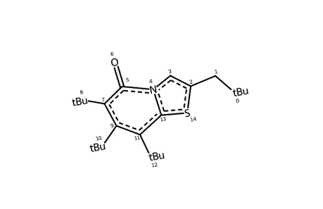 CC(C)(C)Cc1cn2c(=O)c(C(C)(C)C)c(C(C)(C)C)c(C(C)(C)C)c2s1